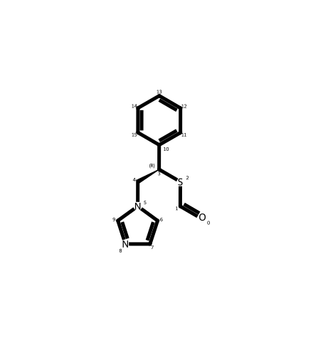 O=CS[C@@H](Cn1ccnc1)c1ccccc1